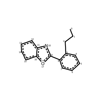 CCCc1ccccc1-c1nc2ccccc2o1